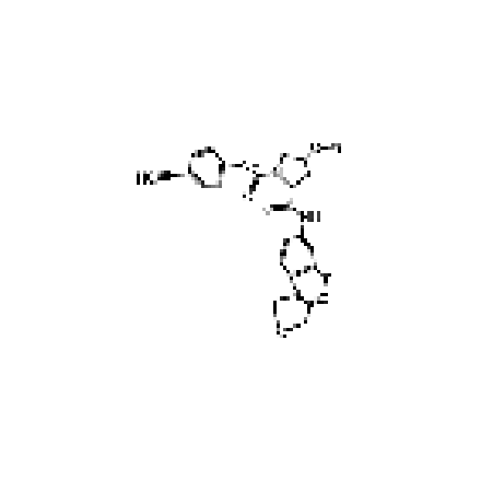 C#Cc1ccc(NC(=O)N2C[C@H](OCC)C[C@@H]2C(=O)Nc2ccc(N3CCOCC3=O)c(F)c2)cc1